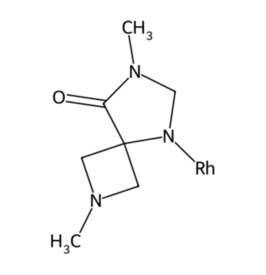 CN1CC2(C1)C(=O)N(C)C[N]2[Rh]